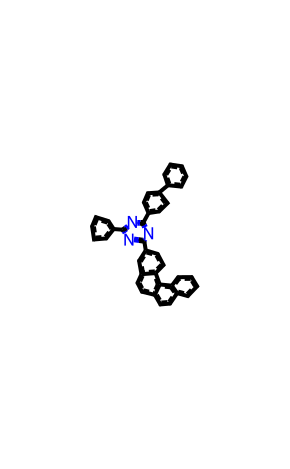 c1ccc(-c2ccc(-c3nc(-c4ccccc4)nc(-c4ccc5c(ccc6ccc7ccccc7c65)c4)n3)cc2)cc1